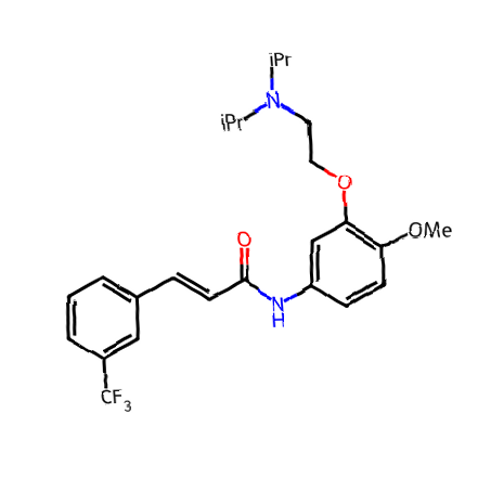 COc1ccc(NC(=O)C=Cc2cccc(C(F)(F)F)c2)cc1OCCN(C(C)C)C(C)C